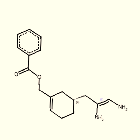 N/C=C(\N)C[C@@H]1CCC=C(COC(=O)c2ccccc2)C1